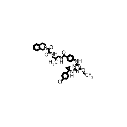 CC(CNC(=O)C(=O)N1CCc2ccccc2C1)CNC(=O)c1ccc(Nc2nc(NC3(c4ccc(Cl)cc4)CC3)nc(OCC(F)(F)F)n2)cc1